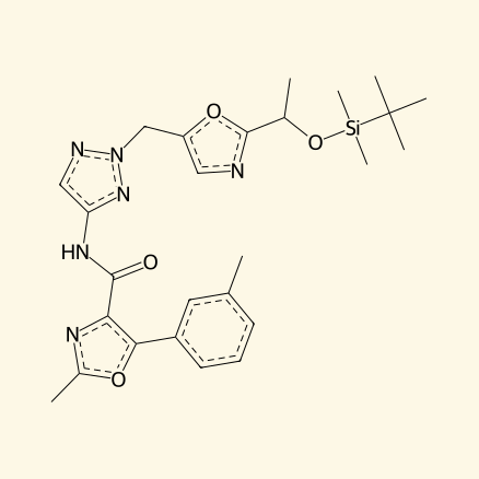 Cc1cccc(-c2oc(C)nc2C(=O)Nc2cnn(Cc3cnc(C(C)O[Si](C)(C)C(C)(C)C)o3)n2)c1